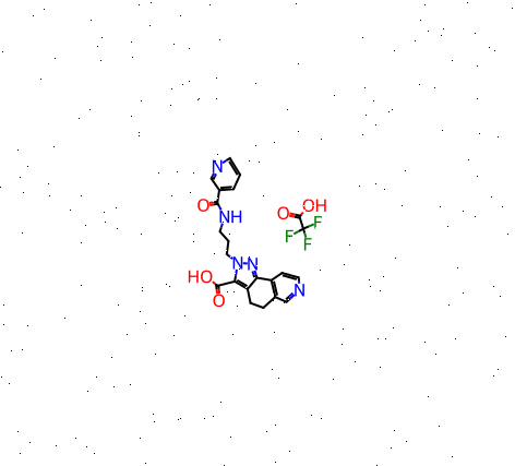 O=C(NCCCn1nc2c(c1C(=O)O)CCc1cnccc1-2)c1cccnc1.O=C(O)C(F)(F)F